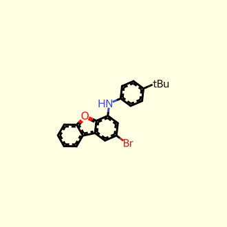 CC(C)(C)c1ccc(Nc2cc(Br)cc3c2oc2ccccc23)cc1